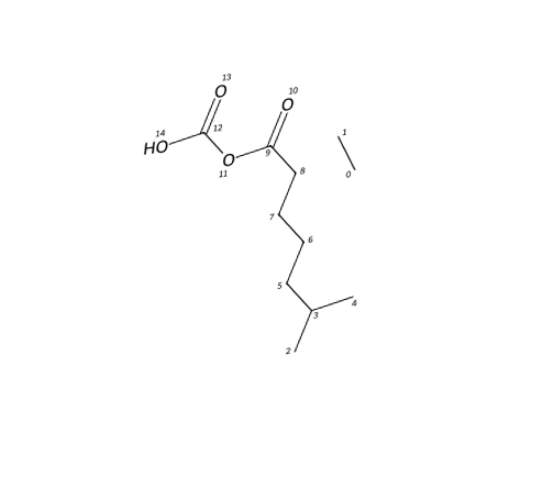 CC.CC(C)CCCCC(=O)OC(=O)O